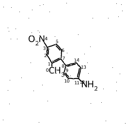 Cc1cc([N+](=O)[O-])ccc1-c1ccc(N)cc1